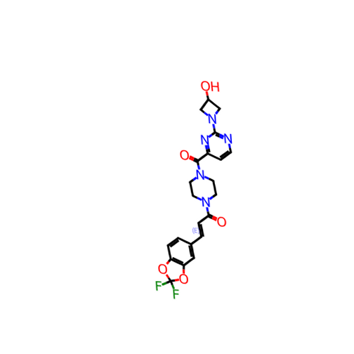 O=C(/C=C/c1ccc2c(c1)OC(F)(F)O2)N1CCN(C(=O)c2ccnc(N3CC(O)C3)n2)CC1